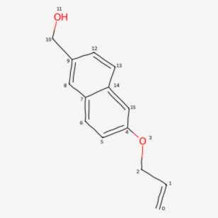 C=CCOc1ccc2cc(CO)ccc2c1